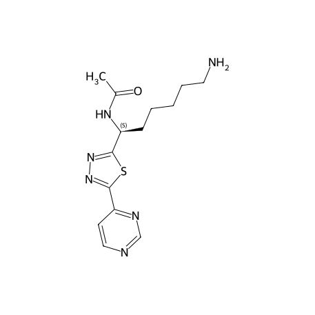 CC(=O)N[C@@H](CCCCCN)c1nnc(-c2ccncn2)s1